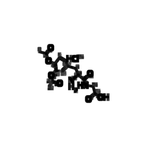 CC(=O)Oc1ccc(C[C@H](N)C(=O)NCC(=O)O)cc1OC(C)=O.Cl